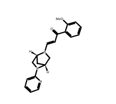 COc1ccccc1C(=O)/C=C/N1C[C@H]2C[C@@H]1CN2c1ccccn1